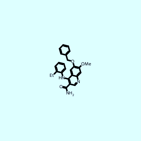 CCc1ccccc1Nc1c(C(N)=O)cnc2cc(OC)c(OCc3ccccc3)cc12